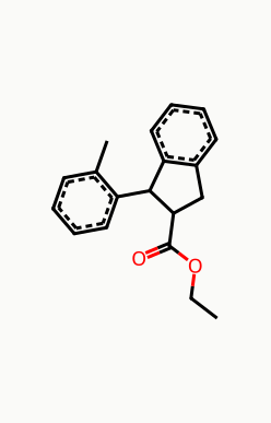 CCOC(=O)C1Cc2ccccc2C1c1ccccc1C